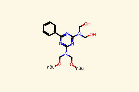 CCCCOCN(COCCCC)c1nc(-c2ccccc2)nc(N(CO)CO)n1